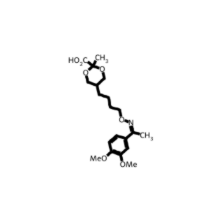 COc1ccc(/C(C)=N\OCCCCC2COC(C)(C(=O)O)OC2)cc1OC